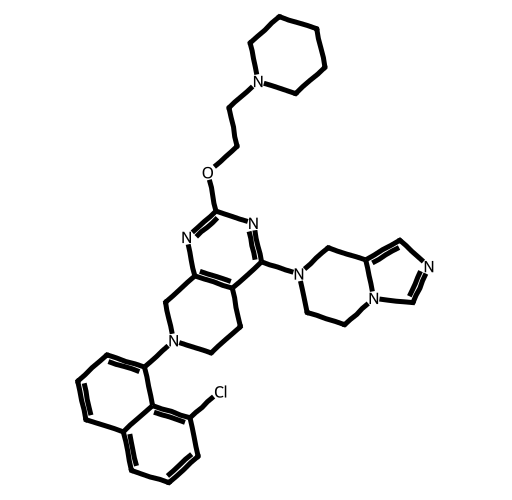 Clc1cccc2cccc(N3CCc4c(nc(OCCN5CCCCC5)nc4N4CCn5cncc5C4)C3)c12